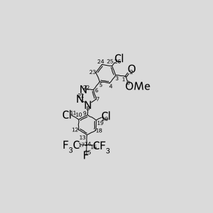 COC(=O)c1cc(-c2cn(-c3c(Cl)cc(C(F)(C(F)(F)F)C(F)(F)F)cc3Cl)nn2)ccc1Cl